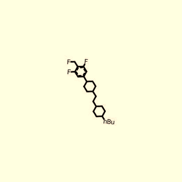 CCCCC1CCC(CCC2CCC(c3cc(F)c(CF)c(F)c3)CC2)CC1